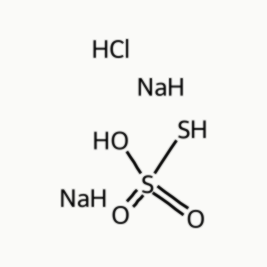 Cl.O=S(=O)(O)S.[NaH].[NaH]